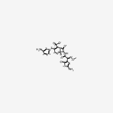 CON=C(C(=O)NC1C(=O)N2C(C(=O)[O-])=C(C[n+]3cccc(N)c3)CS[C@@H]12)c1nc(N)sc1Cl